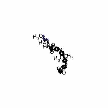 C\C=C/C=C(O)\C=C/CCNC1CC(=O)N(c2ccc(Oc3ccc(C(C)(C)c4ccc(Sc5ccc(N6C(=O)C=CC6=O)cc5)cc4)cc3)cc2)C1=O